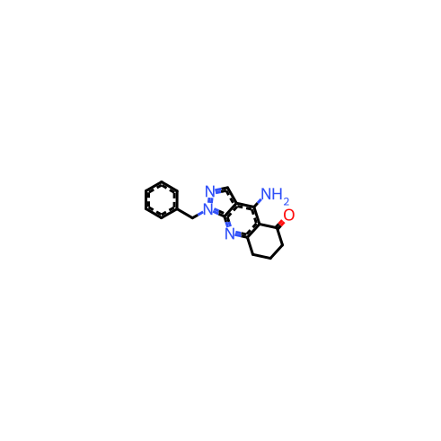 Nc1c2c(nc3c1cnn3Cc1ccccc1)CCCC2=O